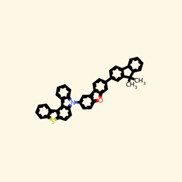 CC1(C)c2ccccc2-c2ccc(-c3ccc4c(c3)oc3ccc(-n5c6ccccc6c6c7c(ccc65)sc5ccccc57)cc34)cc21